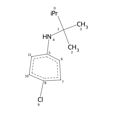 CC(C)C(C)(C)Nc1ccc(Cl)cc1